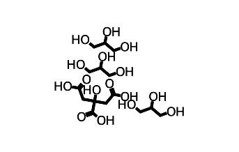 O=C(O)CC(O)(CC(=O)O)C(=O)O.OCC(O)CO.OCC(O)CO.OCC(O)CO